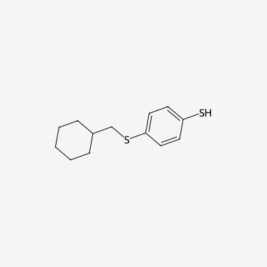 Sc1ccc(SCC2CCCCC2)cc1